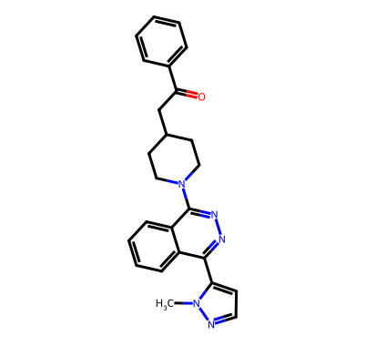 Cn1nccc1-c1nnc(N2CCC(CC(=O)c3ccccc3)CC2)c2ccccc12